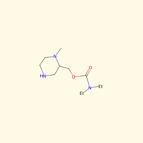 CCN(CC)C(=O)OCC1CNCCN1C